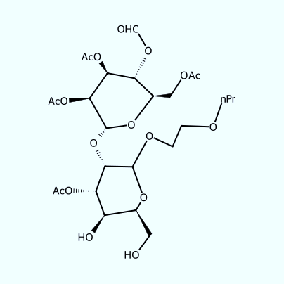 CCCOCCOC1O[C@@H](CO)[C@@H](O)[C@H](OC(C)=O)[C@@H]1O[C@H]1O[C@H](COC(C)=O)[C@@H](OC=O)[C@H](OC(C)=O)[C@@H]1OC(C)=O